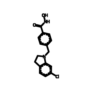 O=C(NO)c1ccc(CN2CCc3ccc(Cl)cc32)cc1